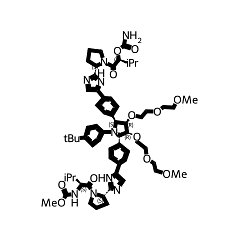 COCCOCCO[C@H]1[C@H](OCCOCCOC)[C@H](c2ccc(-c3cnc([C@@H]4CCCN4C(=O)[C@@H](OC(N)=O)C(C)C)[nH]3)cc2)N(c2ccc(C(C)(C)C)cc2)[C@H]1c1ccc(-c2cnc([C@@H]3CCCN3C(=O)[C@@H](NC(=O)OC)C(C)C)[nH]2)cc1